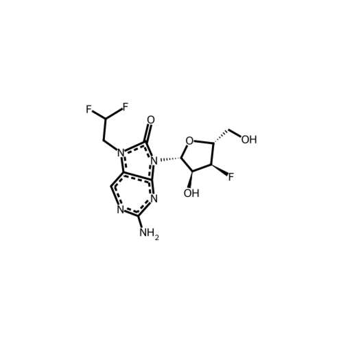 Nc1ncc2c(n1)n([C@@H]1O[C@H](CO)[C@@H](F)[C@H]1O)c(=O)n2CC(F)F